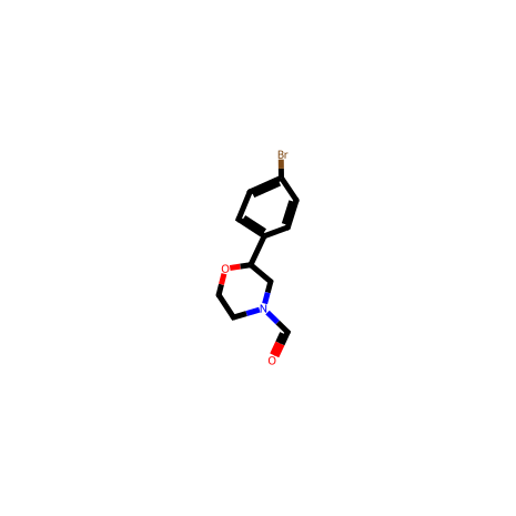 O=CN1CCOC(c2ccc(Br)cc2)C1